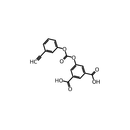 C#Cc1cccc(OC(=O)Oc2cc(C(=O)O)cc(C(=O)O)c2)c1